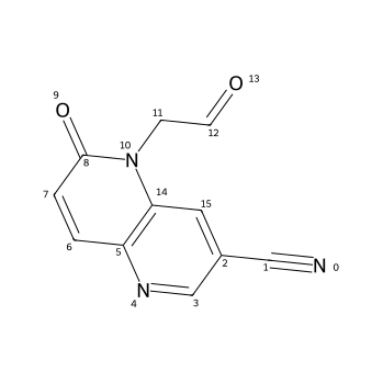 N#Cc1cnc2ccc(=O)n(CC=O)c2c1